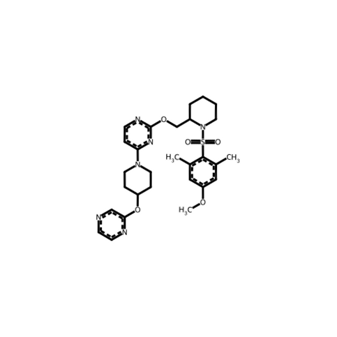 COc1cc(C)c(S(=O)(=O)N2CCCCC2COc2nccc(N3CCC(Oc4cnccn4)CC3)n2)c(C)c1